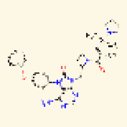 CC(C)(C=C(C#N)C(=O)N1CCC1Cn1c(=O)n(-c2ccc(Oc3ccccc3)cc2)c2c(N)ncnc21)N1CCCC1